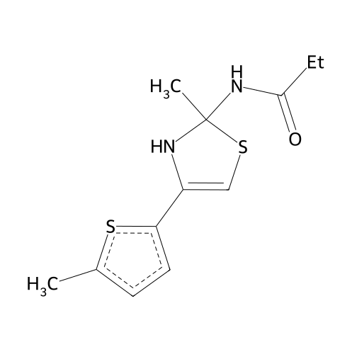 CCC(=O)NC1(C)NC(c2ccc(C)s2)=CS1